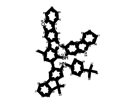 Cc1cc(-c2cc3c(cc2Nc2ccc(C(C)(C)C)cc2)C(C)(C)c2ccccc2-3)c2c3c1c1cc4oc5ccccc5c4cc1n3-c1cc3c(cc1B2)sc1ccccc13